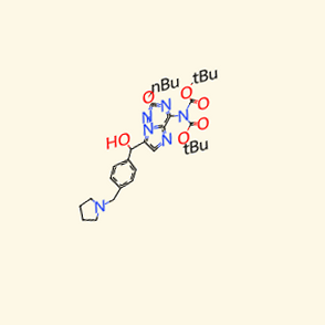 CCCCOc1nc(N(C(=O)OC(C)(C)C)C(=O)OC(C)(C)C)c2ncc(C(O)c3ccc(CN4CCCC4)cc3)n2n1